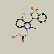 Cc1c(C2NS(=O)(=O)c3ccccc32)c2c(Cl)cccc2n1CC(=O)OC(C)(C)C